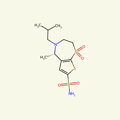 CC(C)CN1CCS(=O)(=O)c2sc(S(N)(=O)=O)cc2[C@@H]1C